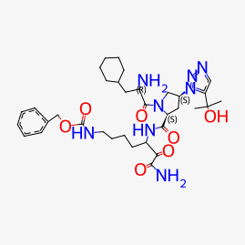 CC(C)(O)c1cnnn1[C@H]1C[C@@H](C(=O)NC(CCCCNC(=O)OCc2ccccc2)C(=O)C(N)=O)N(C(=O)[C@H](N)CC2CCCCC2)C1